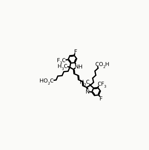 CC1(CCCCCC(=O)O)C(C=CC=CC=C2Nc3cc(F)cc(C(F)(F)F)c3C2(C)CCCCCC(=O)O)=Nc2cc(F)cc(C(F)(F)F)c21